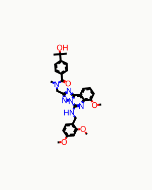 COc1ccc(CNc2nc3c(OC)cccc3c3nc(CN(C)C(=O)c4ccc(C(C)(C)O)cc4)nn23)c(OC)c1